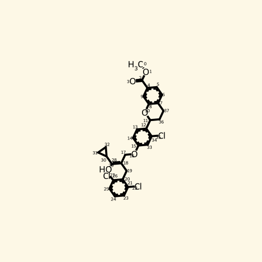 COC(=O)c1ccc2c(c1)OC(c1ccc(OC/C(Cc3c(Cl)cccc3Cl)=C(/O)C3CC3)cc1Cl)CC2